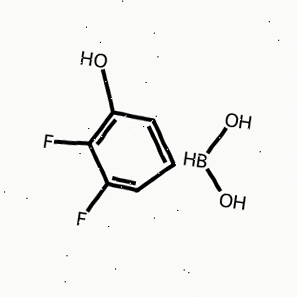 OBO.Oc1cccc(F)c1F